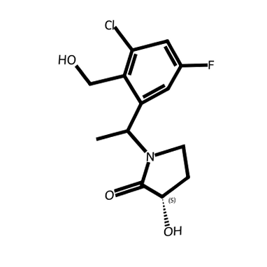 CC(c1cc(F)cc(Cl)c1CO)N1CC[C@H](O)C1=O